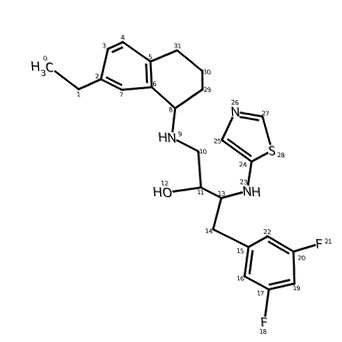 CCc1ccc2c(c1)C(NCC(O)C(Cc1cc(F)cc(F)c1)Nc1cncs1)CCC2